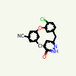 Cc1cc(C#N)cc(Oc2cc(Cc3ccc(=O)[nH]n3)ccc2Cl)c1